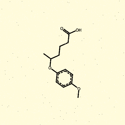 COc1ccc(OC(C)CCCC(=O)O)cc1